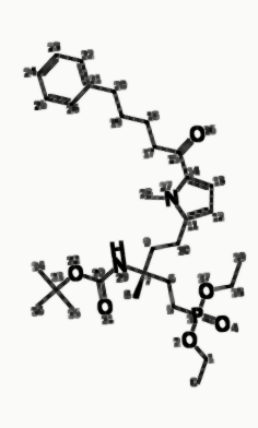 CCOP(=O)(CC[C@@](C)(CCc1ccc(C(=O)CCCCc2ccccc2)n1C)NC(=O)OC(C)(C)C)OCC